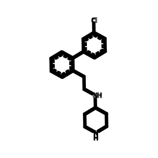 Clc1cccc(-c2ccccc2CCNC2CCNCC2)c1